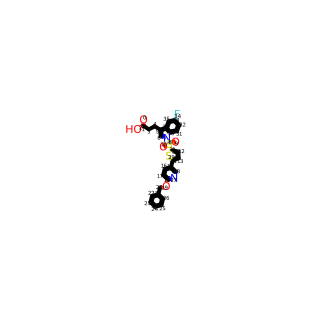 O=C(O)CCc1cn(S(=O)(=O)c2ccc(-c3ccc(OCc4ccccc4)nc3)s2)c2ccc(F)cc12